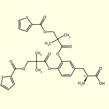 CC(C)(COC(=O)c1cccs1)C(=O)Oc1ccc(C[C@H](N)C(=O)O)cc1OC(=O)C(C)(C)COC(=O)c1cccs1